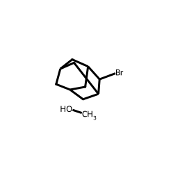 BrC1C2CC3CC(C2)CC1C3.CO